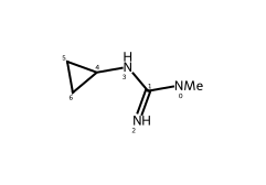 CNC(=N)NC1CC1